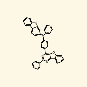 c1ccc(-c2nc(-c3ccc(-n4c5ccccc5c5c6sc7ccccc7c6ccc54)cc3)c3oc4ccccc4c3n2)cc1